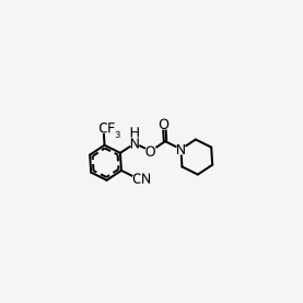 N#Cc1cccc(C(F)(F)F)c1NOC(=O)N1CCCCC1